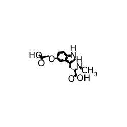 CN[C@@H](Cc1c[nH]c2ccc(OCC(=O)O)cc12)C(=O)O